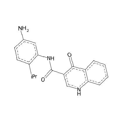 CC(C)c1ccc(N)cc1NC(=O)c1c[nH]c2ccccc2c1=O